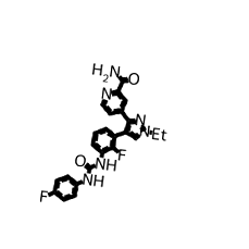 CCn1cc(-c2cccc(NC(=O)Nc3ccc(F)cc3)c2F)c(-c2ccnc(C(N)=O)c2)n1